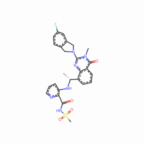 C[C@@H](Nc1cccnc1C(=O)NS(C)(=O)=O)c1cccc2c(=O)n(C)c(N3Cc4ccc(F)cc4C3)nc12